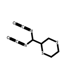 O=C=NC(N=C=O)C1CSCCS1